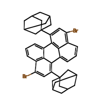 Brc1cc(C23CC4CC(CC(C4)C2)C3)c2c3cccc4c(Br)cc(C56CC7CC(CC(C7)C5)C6)c(c5cccc1c52)c43